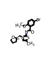 COc1ccc(Br)cc1C(=O)/N=c1\sc(C)cn1C[C@H]1CCCO1